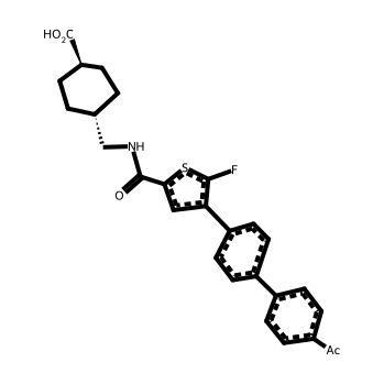 CC(=O)c1ccc(-c2ccc(-c3cc(C(=O)NC[C@H]4CC[C@H](C(=O)O)CC4)sc3F)cc2)cc1